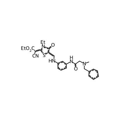 CCOC(=O)C(C#N)=c1sc(=CNc2cccc(NC(=O)CN(C)Cc3ccccc3)c2)c(=O)n1CC